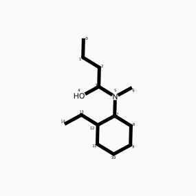 CCCC(O)N(C)C1CCCCC1CC